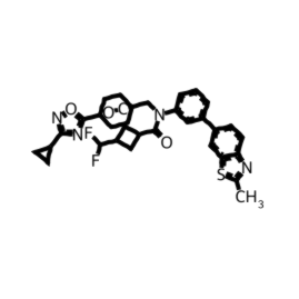 Cc1nc2ccc(-c3cccc(N(CC45CCC(c6nc(C7CC7)no6)(CC4)OC5)C(=O)C4CC(C(F)F)C4)c3)cc2s1